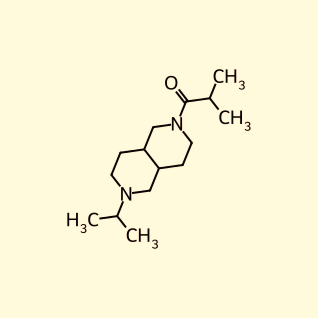 CC(C)C(=O)N1CCC2CN(C(C)C)CCC2C1